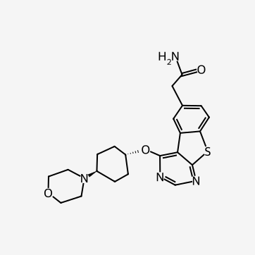 NC(=O)Cc1ccc2sc3ncnc(O[C@H]4CC[C@H](N5CCOCC5)CC4)c3c2c1